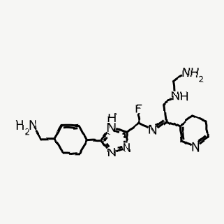 NCNC/C(=N\C(F)c1nnc(C2C=CC(CN)CC2)[nH]1)C1=CN=CCC1